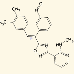 CNc1ncccc1-c1noc(/C(=C/c2ccc(C)c(C)c2)c2cccc(N=O)c2)n1